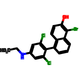 O=C(O)CNc1cc(Cl)c(-c2cccc3c(Br)c(O)ccc23)c(Cl)c1